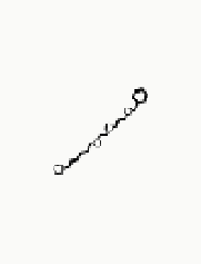 ClCCCCCCOCCOCCCOCc1ccccc1